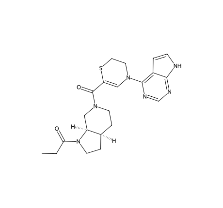 CCC(=O)N1CC[C@@H]2CCN(C(=O)C3=CN(c4ncnc5[nH]ccc45)CCS3)C[C@@H]21